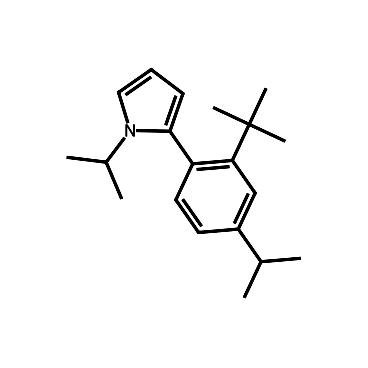 CC(C)c1ccc(-c2cccn2C(C)C)c(C(C)(C)C)c1